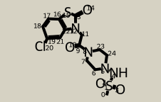 CS(=O)(=O)NN1CCN(C(=O)Cn2c(=O)sc3ccc(Cl)cc32)CC1